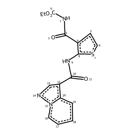 CCOC(=O)NC(=O)c1ccsc1NC(=O)c1cnn2ccccc12